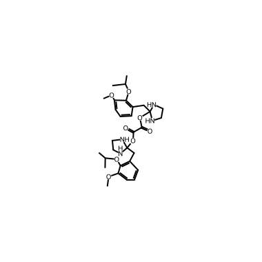 COc1cccc(CC2(OC(=O)C(=O)OC3(Cc4cccc(OC)c4OC(C)C)NCCN3)NCCN2)c1OC(C)C